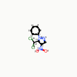 O=[N+]([O-])c1[c]nn(-c2ccccc2)c1C(Cl)Cl